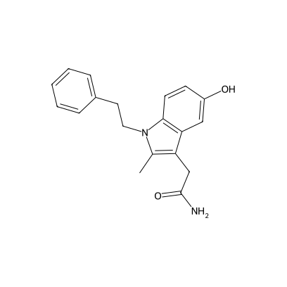 Cc1c(CC(N)=O)c2cc(O)ccc2n1CCc1ccccc1